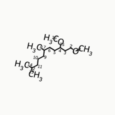 COCCC(CCC(C)CCCC(C)C)OC